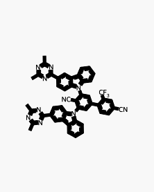 Cc1nc(C)nc(-c2ccc3c(c2)c2ccccc2n3-c2cc(-c3ccc(C#N)cc3C(F)(F)F)cc(-n3c4ccccc4c4cc(-c5nc(C)nc(C)n5)ccc43)c2C#N)n1